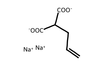 C=CCC(C(=O)[O-])C(=O)[O-].[Na+].[Na+]